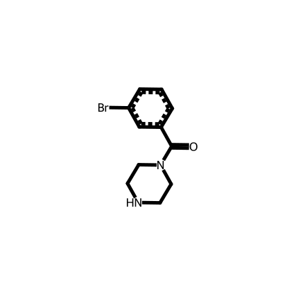 O=C(c1cccc(Br)c1)N1CCNCC1